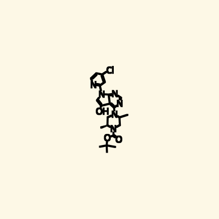 CC1CN(C(=O)OC(C)(C)C)[C@@H](C)CN1c1ncnc2c1c(O)cn2-c1cc(Cl)ccn1